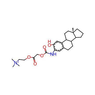 C[C@@]12CCCC1C1CCc3cc(NC(=O)OCC(=O)OCC[N+](C)(C)C)c(O)cc3C1CC2